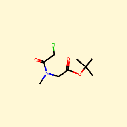 CN(CC(=O)OC(C)(C)C)C(=O)CCl